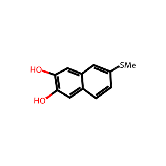 CSc1ccc2cc(O)c(O)cc2c1